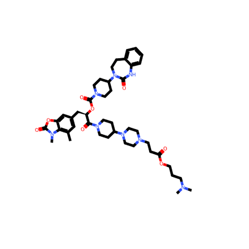 Cc1cc(C[C@@H](OC(=O)N2CCC(N3CCc4ccccc4NC3=O)CC2)C(=O)N2CCC(N3CCN(CCC(=O)OCCCN(C)C)CC3)CC2)cc2oc(=O)n(C)c12